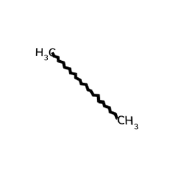 CCCCCCC=CCCCCCCCCCCCCCCCCC